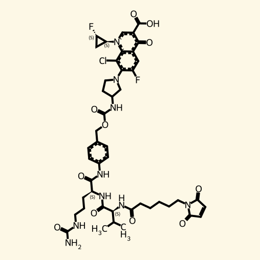 CC(C)[C@H](NC(=O)CCCCCN1C(=O)C=CC1=O)C(=O)N[C@@H](CCCNC(N)=O)C(=O)Nc1ccc(COC(=O)NC2CCN(c3c(F)cc4c(=O)c(C(=O)O)cn([C@H]5C[C@@H]5F)c4c3Cl)C2)cc1